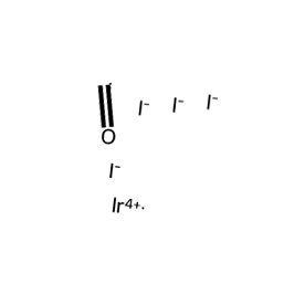 [C]=O.[I-].[I-].[I-].[I-].[Ir+4]